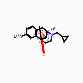 COc1ccc2c(c1)[C@]13CCN(CC4CC4)[C@H](C2)[C@]1(O)CCC(=O)C3